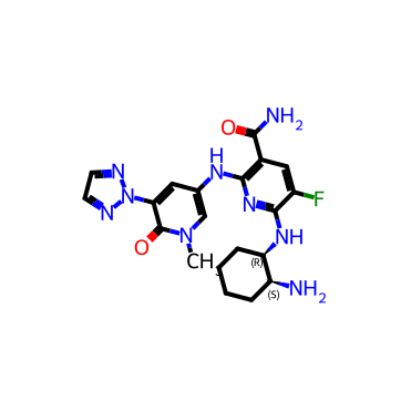 Cn1cc(Nc2nc(N[C@@H]3CCCC[C@@H]3N)c(F)cc2C(N)=O)cc(-n2nccn2)c1=O